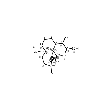 C[C@@H]1CCC2[C@@H](C)[C@@H](O)O[C@@H]3OC4(C)CC[C@@H]1[C@@]23OO4